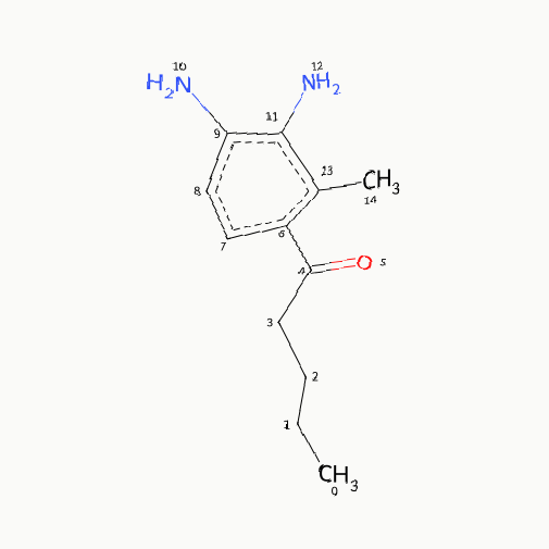 CCCCC(=O)c1ccc(N)c(N)c1C